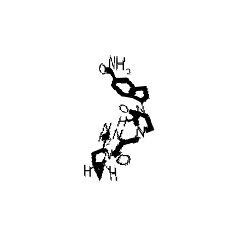 N#C[C@@H]1C[C@@H]2C[C@@H]2N1C(=O)[C@@H](N)CN1CC2C[C@H]1C(=O)N2[C@H]1CCc2cc(C(N)=O)ccc21